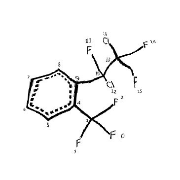 FC(F)(F)c1ccccc1C(F)(Cl)C(F)(F)Cl